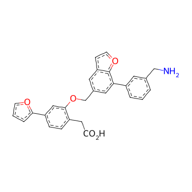 NCc1cccc(-c2cc(COc3cc(-c4ccco4)ccc3CC(=O)O)cc3ccoc23)c1